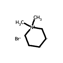 C[N+]1(C)C[CH][CH]CC1.[Br-]